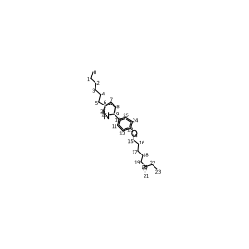 CCCCCCc1ccc(-c2ccc(OCCCCC[C@@H](C)CC)cc2)nc1